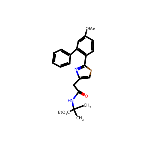 CCOC(=O)C(C)(C)NC(=O)Cc1csc(-c2ccc(OC)cc2-c2ccccc2)n1